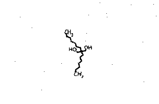 CCCCCCCC(CO)(CO)CCCCCCC